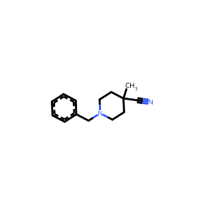 CC1(C#N)CCN(Cc2ccccc2)CC1